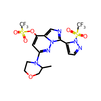 CC1COCCN1c1cc(OS(=O)(=O)C(F)(F)F)c2cnc(-c3ccnn3S(=O)(=O)C(F)(F)F)n2n1